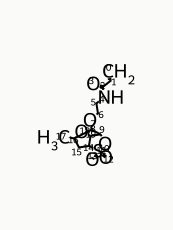 C=CC(=O)NCCOC1C2OS(=O)(=O)C3CC1(C)OC23